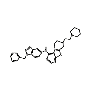 c1ccc(Cn2ncc3cc(Nc4ncnc5sc6c(c45)CCC(CCN4CCCCC4)C6)ccc32)cc1